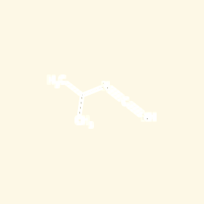 CC(C)N=C=N